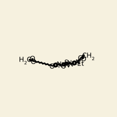 C=CC(=O)OCCCCCCCCCCCOc1ccc(N=Nc2cc3sc(N=Nc4ccc(N(CC)CCOC(=O)C=C)cc4)nc3s2)cc1